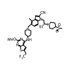 CC[C@@H](Cn1c(C#N)cc2c(C)c(CN3CCC(Nc4nc(OC)nc5sc(CC(F)(F)F)cc45)CC3)ccc21)N1CCC(S(C)(=O)=O)CC1